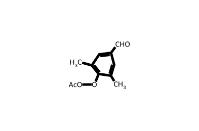 CC(=O)OOc1c(C)cc(C=O)cc1C